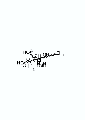 CCCCC/C=C/CC(O)/C=C/c1cccc(C(SC[C@H](N)C(=O)NCC(=O)O)C(O)CCCC(=O)O)c1.[NaH].[NaH]